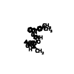 C=C[C@@H]1C[C@]1(CNC(=O)[C@@H]1C[C@@H](Oc2nc(-c3ccc(N(C)C)cc3)cc3ccccc23)CN1)C(=O)NS(=O)(=O)C1CC1